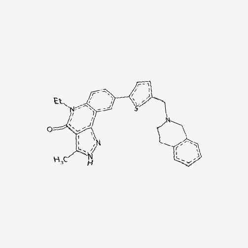 CCn1c(=O)c2c(C)[nH]nc2c2cc(-c3ccc(CN4CCc5ccccc5C4)s3)ccc21